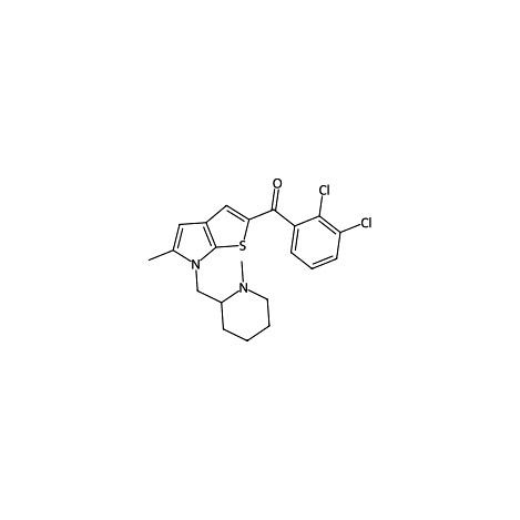 Cc1cc2cc(C(=O)c3cccc(Cl)c3Cl)sc2n1CC1CCCCN1C